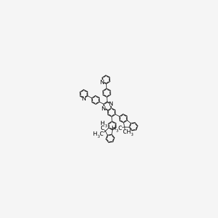 CC1(C)c2ccccc2-c2ccc(-c3cc4nc(-c5ccc(-c6ccccn6)cc5)c(-c5ccc(-c6ccccn6)cc5)nc4cc3-c3ccc4c(c3)C(C)(C)c3ccccc3-4)cc21